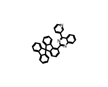 c1cncc(-c2nc(-c3cccc4c3-c3ccccc3C43c4ccccc4-c4ccccc43)nc3ccccc23)c1